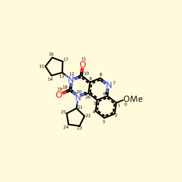 COc1cccc2c1ncc1c(=O)n(C3CCCC3)c(=O)n(C3CCCC3)c12